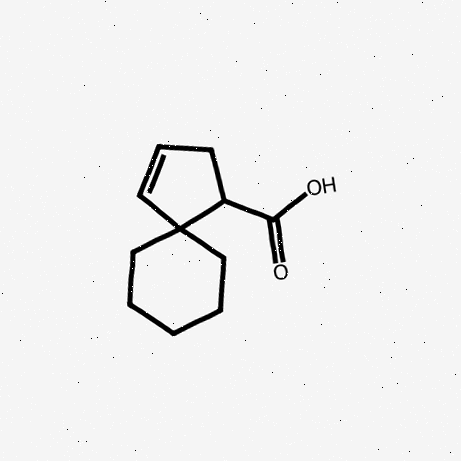 O=C(O)C1CC=CC12CCCCC2